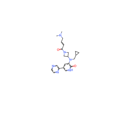 CN(C)C/C=C/C(=O)N1CC(N(CC2CC2)c2cc(-c3cnccn3)c[nH]c2=O)C1